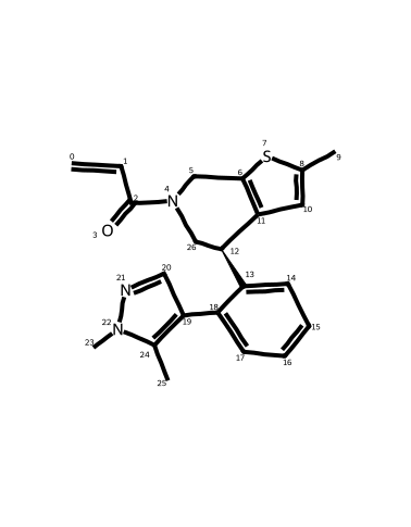 C=CC(=O)N1Cc2sc(C)cc2[C@@H](c2ccccc2-c2cnn(C)c2C)C1